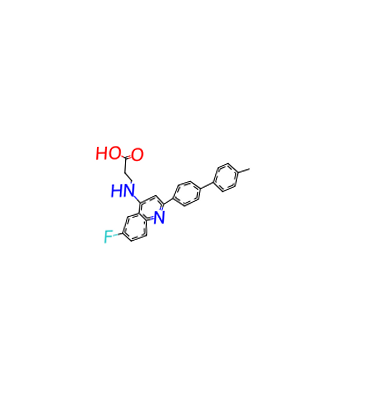 Cc1ccc(-c2ccc(-c3cc(NCCC(=O)O)c4cc(F)ccc4n3)cc2)cc1